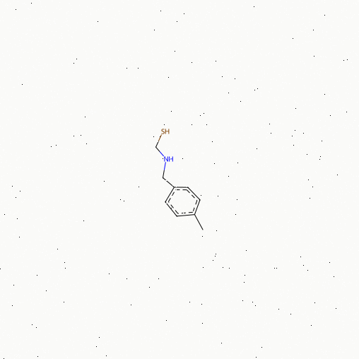 Cc1ccc(CNCS)cc1